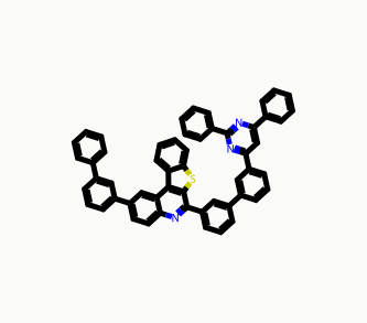 c1ccc(-c2cccc(-c3ccc4nc(-c5cccc(-c6cccc(-c7cc(-c8ccccc8)nc(-c8ccccc8)n7)c6)c5)c5sc6ccccc6c5c4c3)c2)cc1